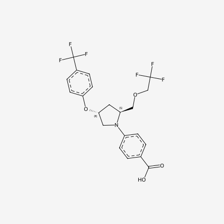 O=C(O)c1ccc(N2C[C@H](Oc3ccc(C(F)(F)F)cc3)C[C@H]2COCC(F)(F)F)cc1